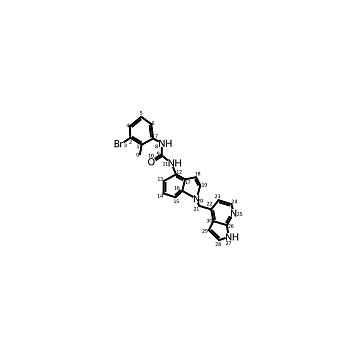 Cc1c(Br)cccc1NC(=O)Nc1cccc2c1ccn2Cc1ccnc2[nH]ccc12